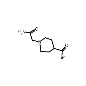 CC(C)C(=O)C1CCN(CC(N)=O)CC1